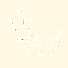 CC1NCNC2C1CCN2[C@@H]1O[C@H]([C@@H]2OCCc3ccc(Cl)cc32)[C@@H](O)[C@H]1O